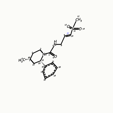 C[C@@H]1CCN(C(=O)NC/C=C/S(C)(=O)=O)[C@H](c2ccccc2)C1